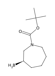 B[C@@H]1CCCCN(C(=O)OC(C)(C)C)C1